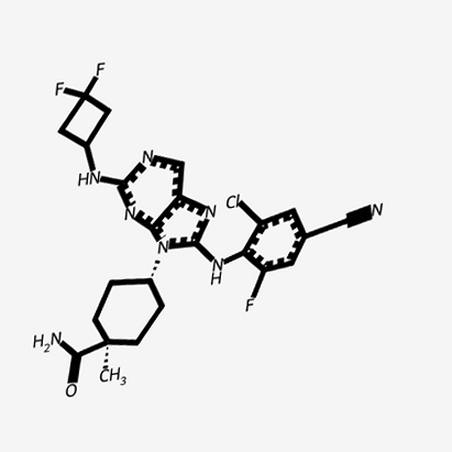 C[C@]1(C(N)=O)CC[C@H](n2c(Nc3c(F)cc(C#N)cc3Cl)nc3cnc(NC4CC(F)(F)C4)nc32)CC1